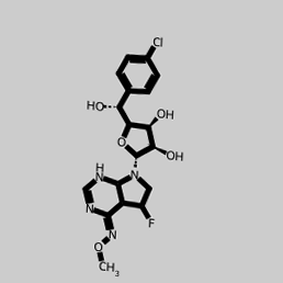 CO/N=C1\N=CNC2C1C(F)CN2[C@@H]1OC([C@H](O)c2ccc(Cl)cc2)[C@@H](O)[C@H]1O